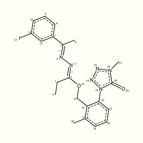 CC/C(=N\N=C(/C)c1cccc(I)c1)OCc1c(C)cccc1-n1nnn(C)c1=O